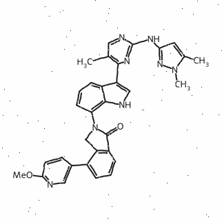 COc1ccc(-c2cccc3c2CN(c2cccc4c(-c5nc(Nc6cc(C)n(C)n6)ncc5C)c[nH]c24)C3=O)cn1